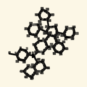 Cc1ccc(N(c2ccc3c(c2)c2ccccc2c2c(-c4ccccc4)cc(-c4ccccc4)c(-c4ccccc4)c32)c2cccc3ccccc23)cc1